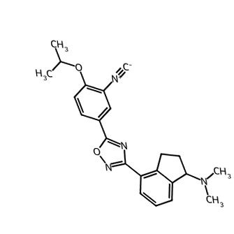 [C-]#[N+]c1cc(-c2nc(-c3cccc4c3CCC4N(C)C)no2)ccc1OC(C)C